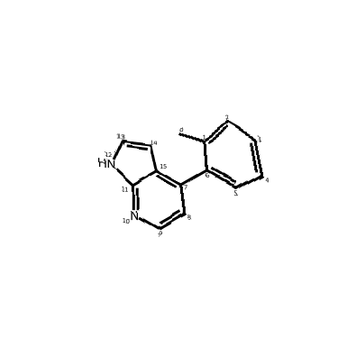 Cc1ccccc1-c1ccnc2[nH]ccc12